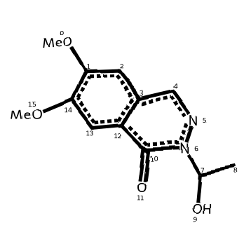 COc1cc2cnn(C(C)O)c(=O)c2cc1OC